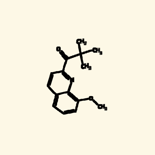 COc1cccc2ccc(C(=O)C(C)(C)C)nc12